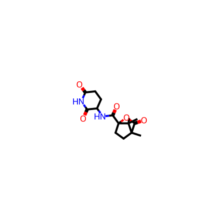 CC12CCC(C(=O)NC3CCC(=O)NC3=O)(OC1=O)C2(C)C